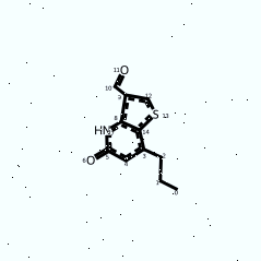 CCCc1cc(=O)[nH]c2c(C=O)csc12